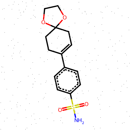 NS(=O)(=O)c1ccc(C2=CCC3(CC2)OCCO3)cc1